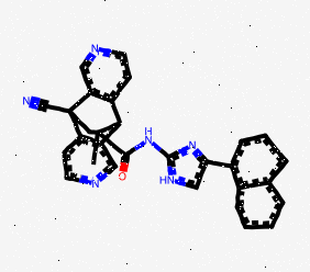 CC1(C(=O)Nc2nc(-c3cccc4ccccc34)c[nH]2)CC2(C#N)c3ccncc3C1c1ccncc12